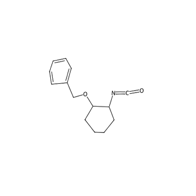 O=C=NC1CCCCC1OCc1ccccc1